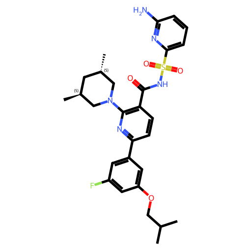 CC(C)COc1cc(F)cc(-c2ccc(C(=O)NS(=O)(=O)c3cccc(N)n3)c(N3C[C@@H](C)C[C@H](C)C3)n2)c1